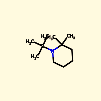 CC1(C)CCCCN1[Si](C)(C)C